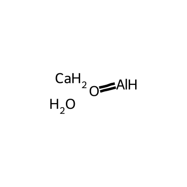 O.[CaH2].[O]=[AlH]